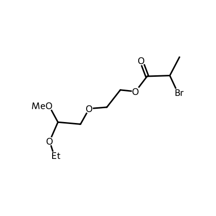 CCOC(COCCOC(=O)C(C)Br)OC